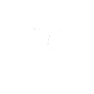 Cl[SiH2]Cl.[O]=[Zr]([OH])[OH]